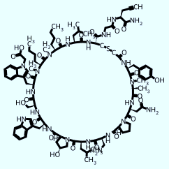 C#CC[C@H](NC(=O)CNC(=O)[C@@H]1CSCC(=O)N[C@@H](Cc2ccc(O)cc2)C(=O)N(C)[C@@H](C)C(=O)N[C@@H](CC(N)=O)C(=O)N2CCC[C@H]2C(=O)N[C@@H](CN)C(=O)N[C@@H](CC(C)C)C(=O)N2C[C@H](O)C[C@H]2C(=O)N[C@@H](Cc2c[nH]c3ccccc23)C(=O)N[C@@H](CO)C(=O)N[C@@H](Cc2cn(CC(=O)O)c3ccccc23)C(=O)N(C)[C@@H](CCCC)C(=O)N(C)[C@@H](CCCC)C(=O)N[C@@H](CC(C)C)C(=O)N1)C(N)=O